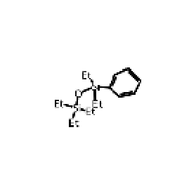 CC[Si](CC)(CC)O[Si](CC)(CC)c1ccccc1